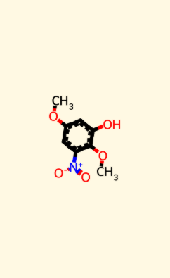 COc1cc(O)c(OC)c([N+](=O)[O-])c1